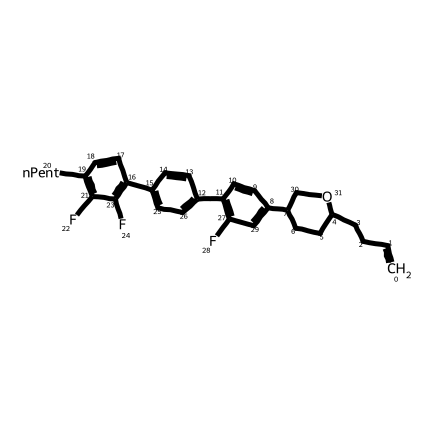 C=CCCC1CCC(c2ccc(-c3ccc(-c4ccc(CCCCC)c(F)c4F)cc3)c(F)c2)CO1